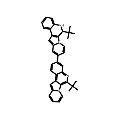 CC(C)(C)c1nc2cc(-c3ccn4c5c(cc4c3)-c3ccccc3NC5C(C)(C)C)ccc2c2cc3ccccn3c12